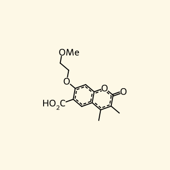 COCCOc1cc2oc(=O)c(C)c(C)c2cc1C(=O)O